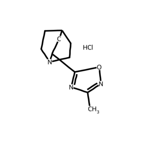 Cc1noc(C2CC3CCN2CC3)n1.Cl